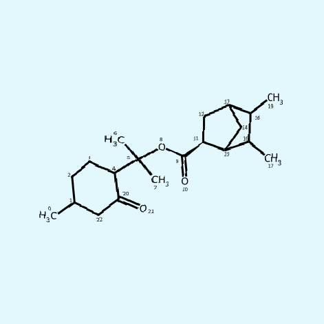 CC1CCC(C(C)(C)OC(=O)[C@H]2CC3CC2C(C)C3C)C(=O)C1